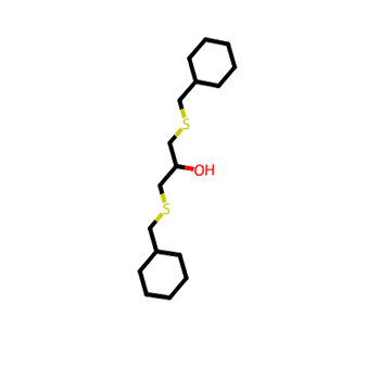 OC(CSCC1CCCCC1)CSCC1CCCCC1